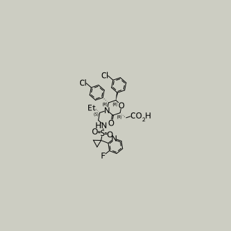 CC[C@@H](CNS(=O)(=O)C1(c2ncccc2F)CC1)N1C(=O)[C@@H](CC(=O)O)O[C@H](c2cccc(Cl)c2)[C@H]1c1ccc(Cl)cc1